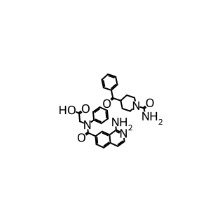 NC(=O)N1CCC(C(=O)c2ccccc2)CC1.Nc1nccc2ccc(C(=O)N(CC(=O)O)c3ccccc3)cc12